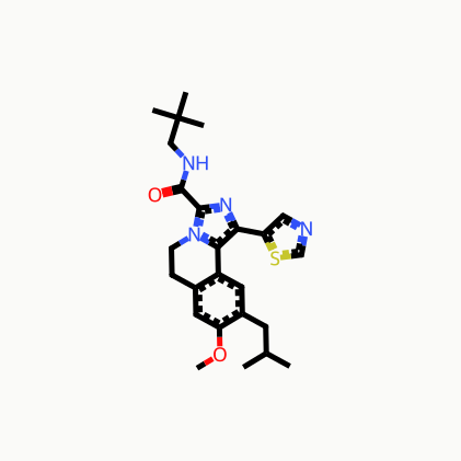 COc1cc2c(cc1CC(C)C)-c1c(-c3cncs3)nc(C(=O)NCC(C)(C)C)n1CC2